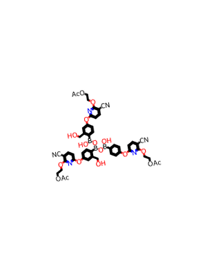 CC(=O)OCCOc1nc(Oc2ccc(B(O)OB(OB(O)c3ccc(Oc4ccc(C#N)c(OCCOC(C)=O)n4)cc3CO)c3ccc(Oc4ccc(C#N)c(OCCOC(C)=O)n4)cc3CO)cc2)ccc1C#N